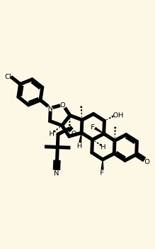 CC(C)(C#N)CC(=O)[C@@]12ON(c3ccc(Cl)cc3)C[C@@H]1C[C@H]1[C@@H]3C[C@H](F)C4=CC(=O)C=C[C@]4(C)[C@@]3(F)[C@@H](O)C[C@@]12C